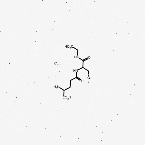 NC(CCC(=O)NC(CS)C(=O)NCC(=O)O)C(=O)O.[Cl-].[K+]